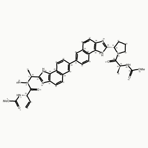 C=C[C@H](NC(=O)OC)C(=O)N(CCC)[C@@H](C)c1nc2ccc3cc(-c4ccc5c(ccc6nc([C@@H]7CCCN7C(=O)[C@H](C)NC(=O)OC)[nH]c65)c4)ccc3c2[nH]1